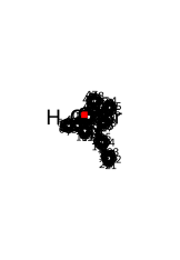 CC1(C)c2ccccc2-c2ccc(N(c3ccc(-c4ccccc4)cc3)c3cccc(C4(c5ccccc5Br)c5ccccc5-c5ccccc54)c3)cc21